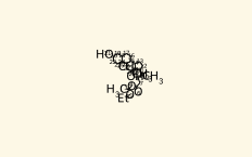 CCOC(C)OC(=O)CCC(C)C1CCC2C3CCC4CC(O)CCC4(C)C3CC(O)C12C